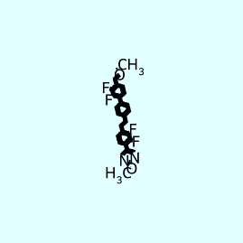 CCOCc1ccc(-c2ccc(CCc3ccc(-c4cnc(OC)nc4)c(F)c3F)cc2)c(F)c1F